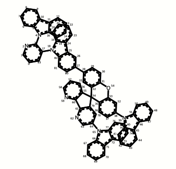 c1cnc(-n2c3ccccc3c3ccccc32)c(-n2c3ccccc3c3cc(-c4ccc5c(c4)C4(c6ccc(-n7c8ccccc8c8ccccc87)cc6O5)c5cccnc5-c5ncc(-n6c7ccccc7c7ccccc76)cc54)ccc32)c1